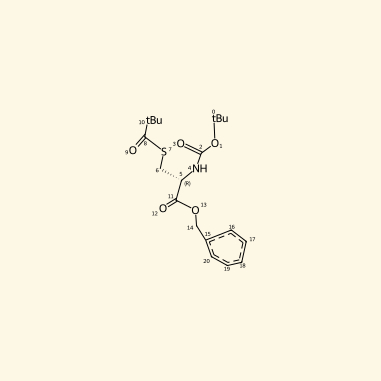 CC(C)(C)OC(=O)N[C@@H](CSC(=O)C(C)(C)C)C(=O)OCc1ccccc1